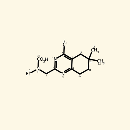 CCN(Cc1nc(Cl)c2c(n1)CCC(C)(C)C2)C(=O)O